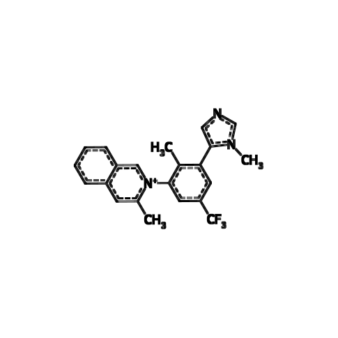 Cc1c(-c2cncn2C)cc(C(F)(F)F)cc1-[n+]1cc2ccccc2cc1C